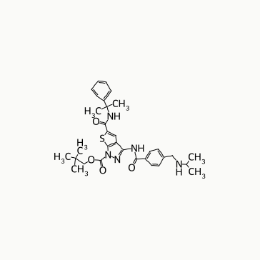 CC(C)NCc1ccc(C(=O)Nc2nn(C(=O)OCC(C)(C)C)c3sc(C(=O)NC(C)(C)c4ccccc4)cc23)cc1